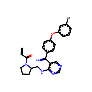 C=CC(=O)N1CCCC1CNc1ncncc1C(=N)c1ccc(Oc2cccc(CC)c2)cc1